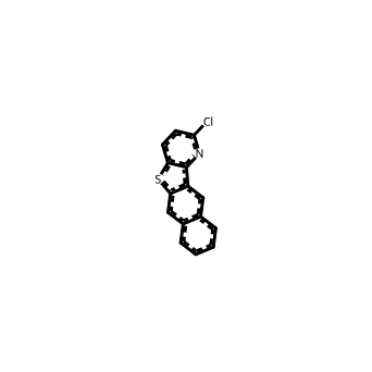 Clc1ccc2sc3cc4ccccc4cc3c2n1